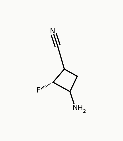 N#CC1CC(N)[C@@H]1F